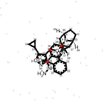 NNC(=O)c1ccc(N2[C@@H]3CC[C@H]2C[C@@H](OCc2c(-c4ccccc4OC(F)(F)F)noc2C2CC2)C3)nc1